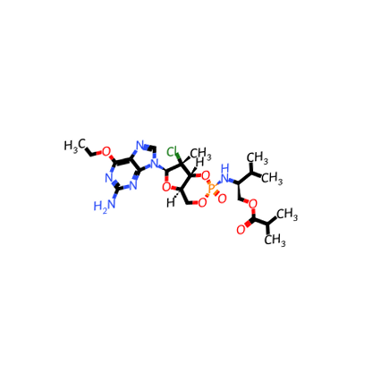 CCOc1nc(N)nc2c1ncn2[C@@H]1O[C@@H]2CO[P@](=O)(N[C@H](COC(=O)C(C)C)C(C)C)O[C@H]2[C@@]1(C)Cl